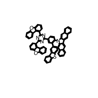 c1ccc2cc3c(cc2c1)c1cc2ccccc2cc1n3-c1ccc(-c2nc(-c3cccc4oc5ccccc5c34)nc(-c3cccc4oc5ccccc5c34)n2)cc1-c1ccc2sc3ccccc3c2c1